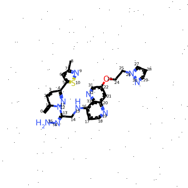 C=C1C=CC(c2cc(C)ns2)=NN1/C(CNc1ccnc2cc(OCCn3cccn3)cnc12)=N\N